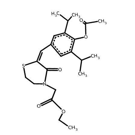 CCOC(=O)CN1CCS/C(=C/c2cc(C(C)C)c(OC(C)=O)c(C(C)C)c2)C1=O